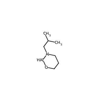 CC(C)[CH2][Al]1[CH2]CC[O][AlH]1